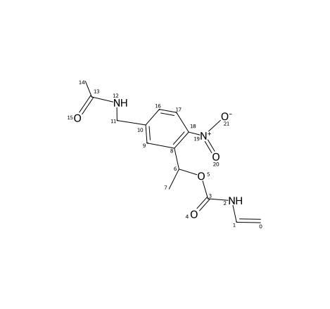 C=CNC(=O)OC(C)c1cc(CNC(C)=O)ccc1[N+](=O)[O-]